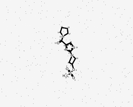 CS(=O)(=O)OC1CN(c2nc(C(=O)N3CCCC3)cs2)C1